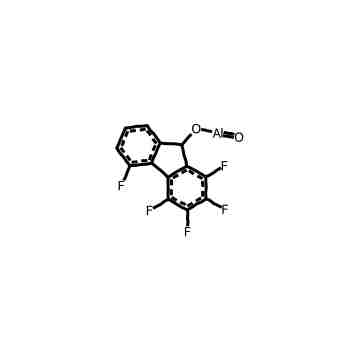 [O]=[Al][O]C1c2cccc(F)c2-c2c(F)c(F)c(F)c(F)c21